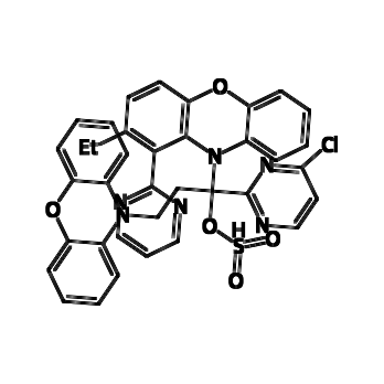 CCc1ccc2c(c1-c1ncccn1)N(C(CCN1c3ccccc3Oc3ccccc31)(O[SH](=O)=O)c1nccc(Cl)n1)c1ccccc1O2